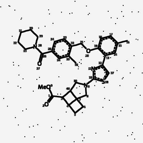 COC(=O)C1C2CCC23CN(c2nc(-c4cc(C)ccc4OCc4ccc(C(=O)N5CCCCC5)cc4C)cs2)CC13